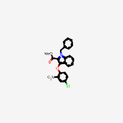 COC(=O)c1c(Oc2ccc(Cl)cc2[N+](=O)[O-])c2ccccc2n1Cc1ccccc1